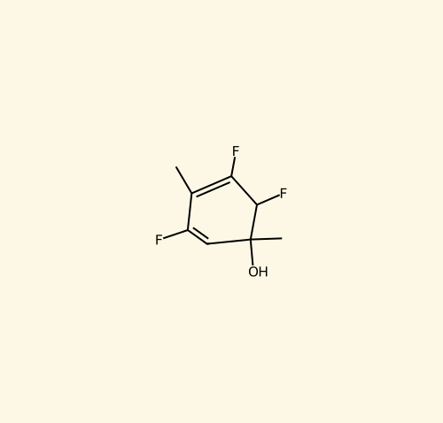 CC1=C(F)C(F)C(C)(O)C=C1F